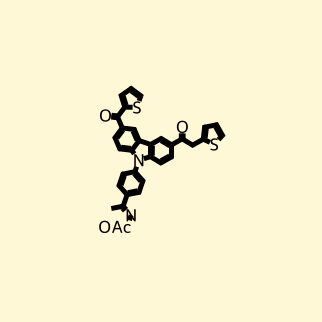 CC(=O)ON=C(C)c1ccc(-n2c3ccc(C(=O)Cc4cccs4)cc3c3cc(C(=O)c4cccs4)ccc32)cc1